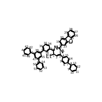 CCC1C=C(c2ccc(-c3ccccc3)cc2)N=C(c2ccc3c(c2)oc2ccccc23)N=C1c1cccc(-c2cc(-c3ccccc3)cc(-c3ccccc3)c2)c1